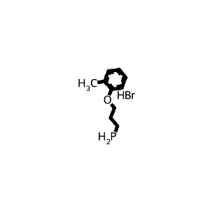 Br.Cc1ccccc1OCCCP